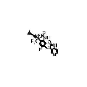 O=C1Nc2cc(Cn3c(=O)[nH]c4ccncc43)c(F)cc2[C@@](C#CC2CC2)(C(F)(F)F)N1